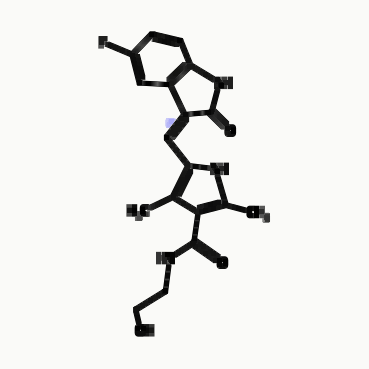 Cc1[nH]c(/C=C2\C(=O)Nc3ccc(F)cc32)c(C)c1C(=O)NCCO